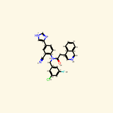 N#Cc1cc(-c2c[nH]cn2)ccc1N(Cc1cc(F)cc(Cl)c1)C(=O)Cc1cncc2ccccc12